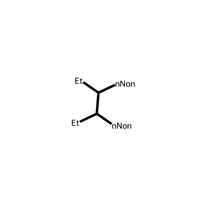 CCCCCCCCCC(CC)C(CC)CCCCCCCCC